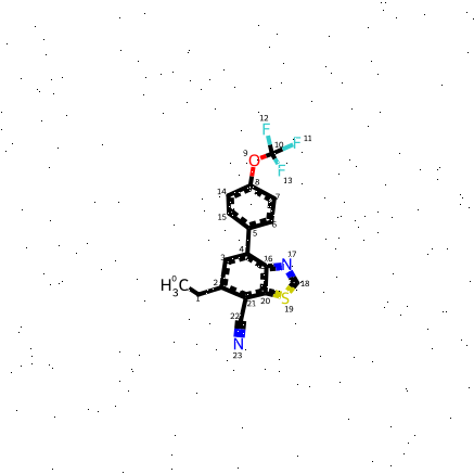 CCc1cc(-c2ccc(OC(F)(F)F)cc2)c2ncsc2c1C#N